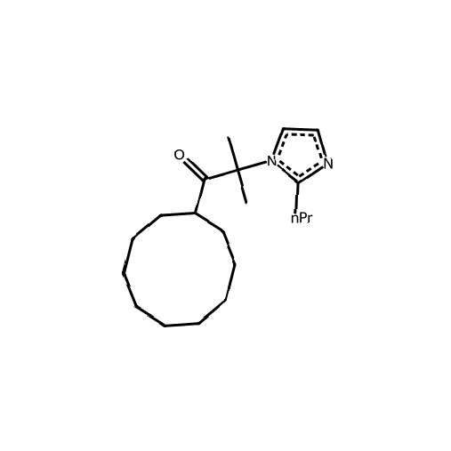 CCCc1nccn1C(C)(C)C(=O)C1CCCCCCCCC1